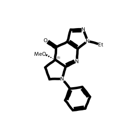 CCn1ncc2c1N=C1N(c3ccccc3)CC[C@@]1(OC)C2=O